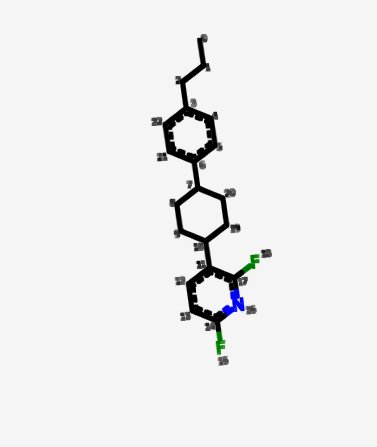 CCCc1ccc(C2CCC(c3ccc(F)nc3F)CC2)cc1